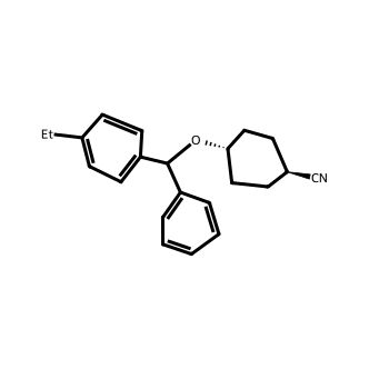 CCc1ccc(C(O[C@H]2CC[C@H](C#N)CC2)c2ccccc2)cc1